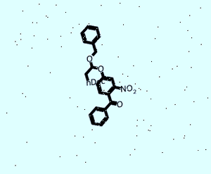 CCCCCCCCCCCC(OCc1ccccc1)Oc1ccc(C(=O)c2ccccc2)c([N+](=O)[O-])c1